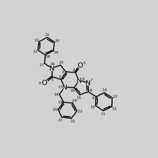 O=C1c2c(c(=O)n3nc(-c4ccccc4)cc3n2Cc2ccccc2)CN1Cc1ccccc1